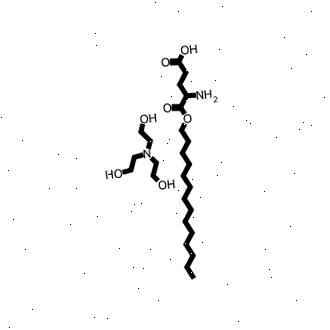 CCCCCCCCCCCCCCOC(=O)C(N)CCC(=O)O.OCCN(CCO)CCO